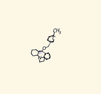 Cc1ccc(CO/C(=C2\CCCCC2N2CCC2)c2ccccc2)cc1